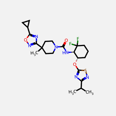 CC(C)c1nsc(O[C@H]2CCCC(F)(F)[C@@H]2NC(=O)N2CCC(C)(c3noc(C4CC4)n3)CC2)n1